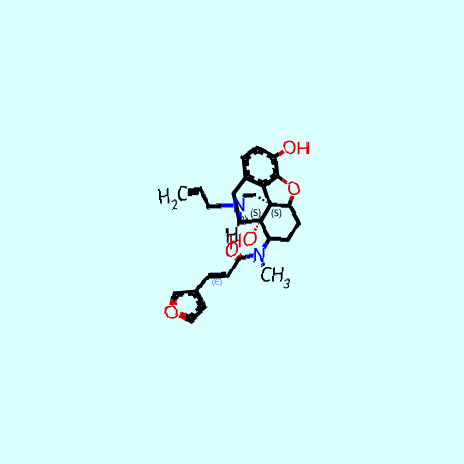 C=CCN1CC[C@]23c4c5ccc(O)c4OC2CCC(N(C)C(=O)/C=C/c2ccoc2)[C@@]3(O)[C@H]1C5